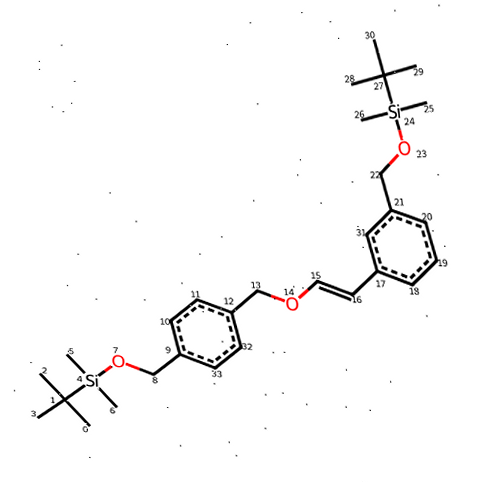 CC(C)(C)[Si](C)(C)OCc1ccc(COC=Cc2cccc(CO[Si](C)(C)C(C)(C)C)c2)cc1